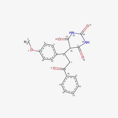 COc1ccc(C(CC(=O)c2ccccc2)C2C(=O)NC(=O)NC2=O)cc1